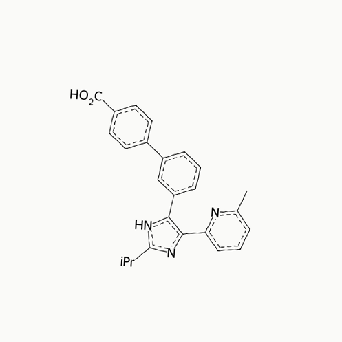 Cc1cccc(-c2nc(C(C)C)[nH]c2-c2cccc(-c3ccc(C(=O)O)cc3)c2)n1